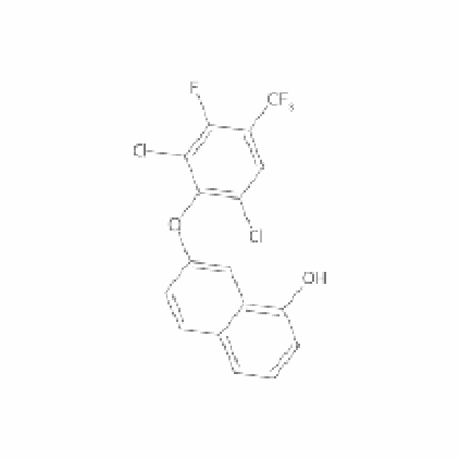 Oc1cccc2ccc(Oc3c(Cl)cc(C(F)(F)F)c(F)c3Cl)cc12